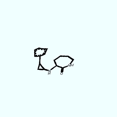 O=C1NCCCCC1NC1CC1c1ccccc1